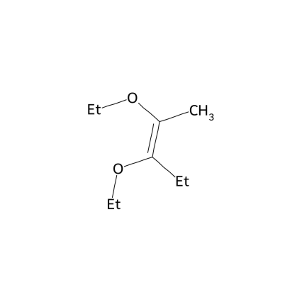 CCOC(C)=C(CC)OCC